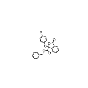 O=C1OC(Oc2ccc(F)cc2)(C(=O)OCc2ccccc2)c2ccccc21